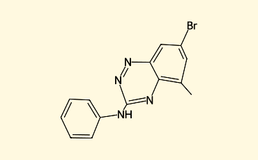 Cc1cc(Br)cc2nnc(Nc3ccccc3)nc12